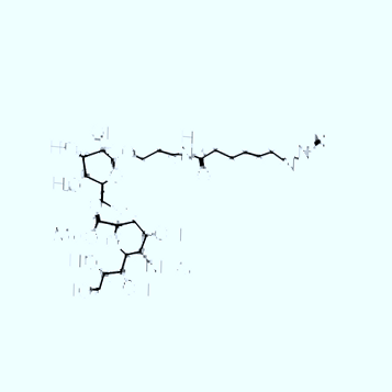 COC(=O)[C@@]1(SCC2O[C@@H](OCCCNC(=O)CCCCCN=[N+]=[N-])[C@@H](O)C(O)[C@H]2O)C[C@@H](O)[C@@H](NC(C)=O)C([C@H](O)[C@H](O)CO)O1